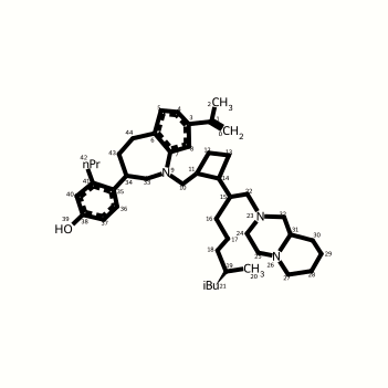 C=C(C)c1ccc2c(c1)N(CC1CCC1C(CCCC(C)[C@H](C)CC)CN1CCN3CCCCC3C1)CC(c1ccc(O)cc1CCC)CC2